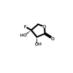 O=C1OC[C@](O)(F)[C@H]1O